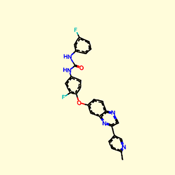 Cc1ccc(-c2cnc3ccc(Oc4ccc(NC(=O)Nc5cccc(F)c5)cc4F)cc3n2)cn1